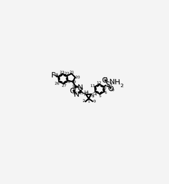 CC1(C)[C@@H](c2ccc(S(N)(=O)=O)cc2)[C@@H]1c1noc(C2CCc3cc(F)ccc32)n1